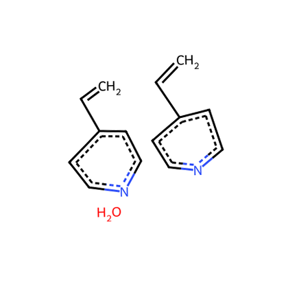 C=Cc1ccncc1.C=Cc1ccncc1.O